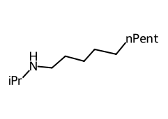 CCCCCCCCCCNC(C)C